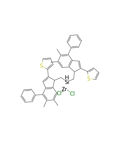 Cc1cc2c(c(-c3ccccc3)c1C)C=C(c1cccs1)C2C[SiH](CC1C(c2cccs2)=Cc2c1cc(C)c(C)c2-c1ccccc1)[Zr]([Cl])[Cl]